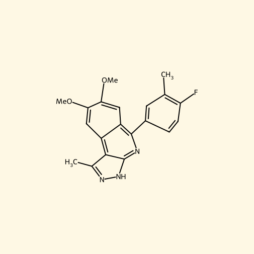 COc1cc2c(-c3ccc(F)c(C)c3)nc3[nH]nc(C)c3c2cc1OC